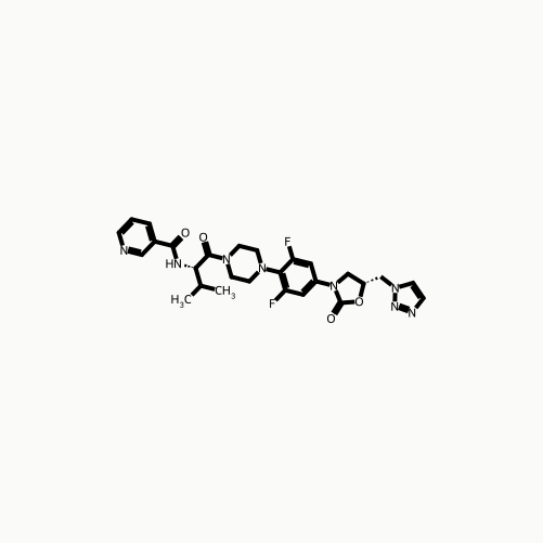 CC(C)[C@H](NC(=O)c1cccnc1)C(=O)N1CCN(c2c(F)cc(N3C[C@H](Cn4ccnn4)OC3=O)cc2F)CC1